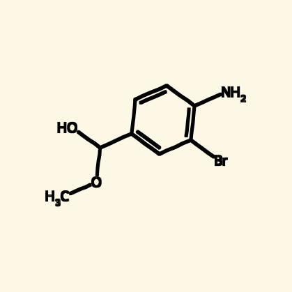 COC(O)c1ccc(N)c(Br)c1